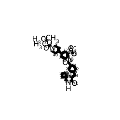 CC(C)(C)OC(=O)N1CC=C(c2cc([N+](=O)[O-])c3nc(-c4ccc5cc6n(c5c4)C4(CCC4)CNC6=O)oc3c2)CC1